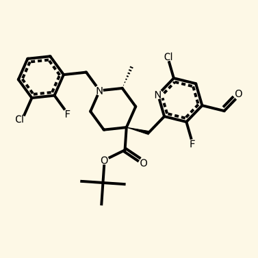 C[C@@H]1C[C@](Cc2nc(Cl)cc(C=O)c2F)(C(=O)OC(C)(C)C)CCN1Cc1cccc(Cl)c1F